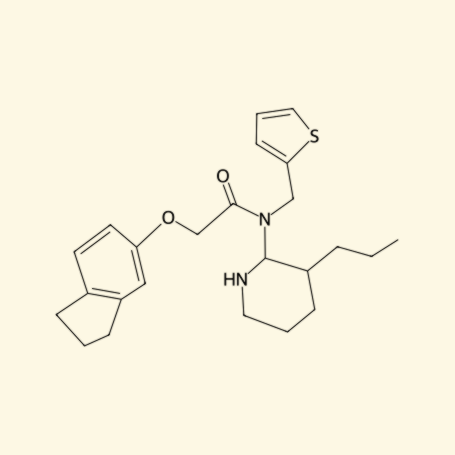 CCCC1CCCNC1N(Cc1cccs1)C(=O)COc1ccc2c(c1)CCC2